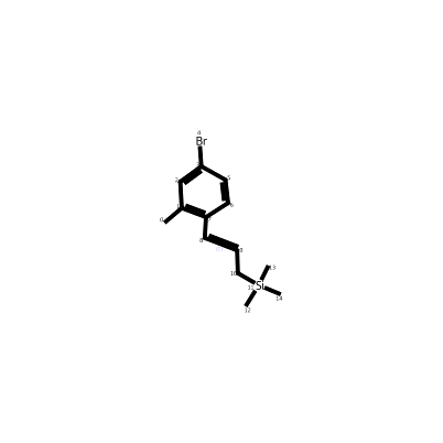 Cc1cc(Br)ccc1/C=C/C[Si](C)(C)C